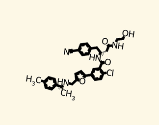 Cc1ccc([C@@H](C)NCc2ccc(-c3ccc(Cl)c(C(=O)N[C@@H](CC(=O)NCCO)Cc4ccc(C#N)cc4)c3)o2)cc1